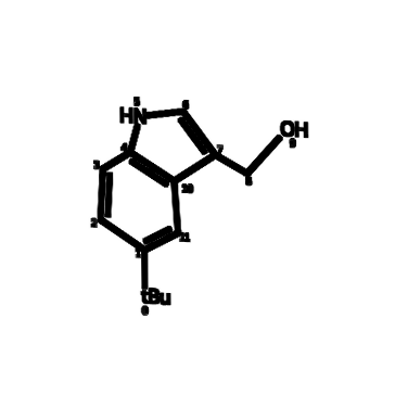 CC(C)(C)c1ccc2[nH]cc(CO)c2c1